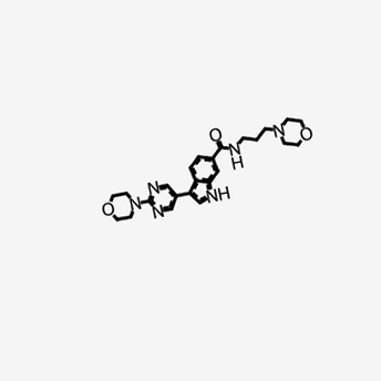 O=C(NCCCN1CCOCC1)c1ccc2c(-c3cnc(N4CCOCC4)nc3)c[nH]c2c1